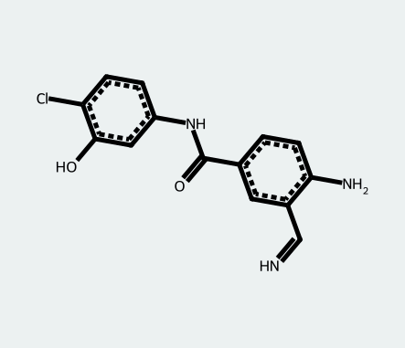 N=Cc1cc(C(=O)Nc2ccc(Cl)c(O)c2)ccc1N